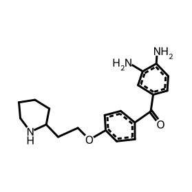 Nc1ccc(C(=O)c2ccc(OCCC3CCCCN3)cc2)cc1N